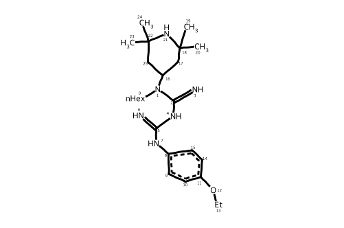 CCCCCCN(C(=N)NC(=N)Nc1ccc(OCC)cc1)C1CC(C)(C)NC(C)(C)C1